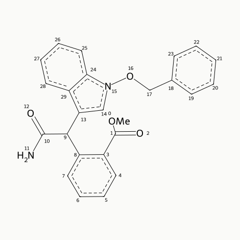 COC(=O)c1ccccc1C(C(N)=O)c1cn(OCc2ccccc2)c2ccccc12